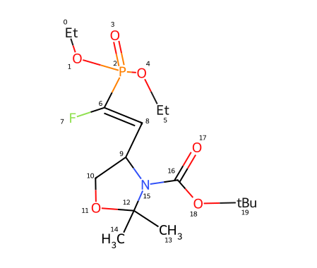 CCOP(=O)(OCC)C(F)=CC1COC(C)(C)N1C(=O)OC(C)(C)C